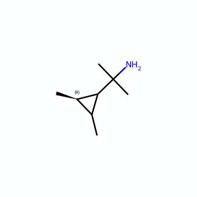 CC1C(C(C)(C)N)[C@@H]1C